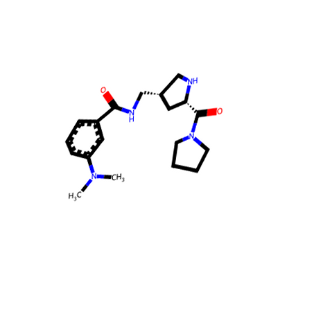 CN(C)c1cccc(C(=O)NC[C@@H]2CN[C@H](C(=O)N3CCCC3)C2)c1